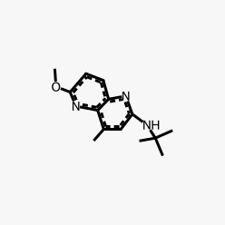 COc1ccc2nc(NC(C)(C)C)cc(C)c2n1